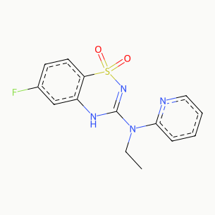 CCN(C1=NS(=O)(=O)c2ccc(F)cc2N1)c1ccccn1